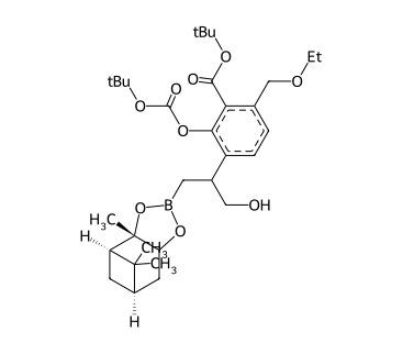 CCOCc1ccc(C(CO)CB2OC3C[C@H]4C[C@H](C4(C)C)[C@]3(C)O2)c(OC(=O)OC(C)(C)C)c1C(=O)OC(C)(C)C